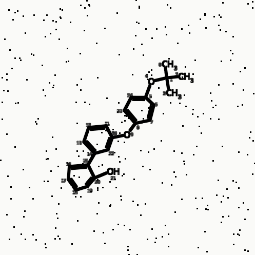 CC(C)(C)Oc1ccc(Oc2cccc(-c3ccccc3O)c2)cc1